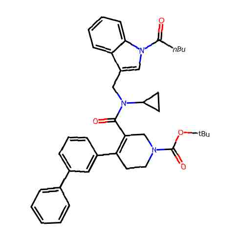 CCCCC(=O)n1cc(CN(C(=O)C2=C(c3cccc(-c4ccccc4)c3)CCN(C(=O)OC(C)(C)C)C2)C2CC2)c2ccccc21